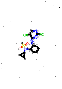 CS(=O)(=O)N(c1ccccc1Nc1nc(Cl)ncc1Cl)C1CC1